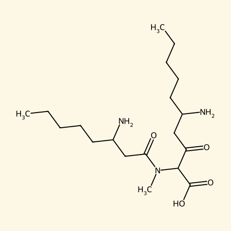 CCCCCC(N)CC(=O)C(C(=O)O)N(C)C(=O)CC(N)CCCCC